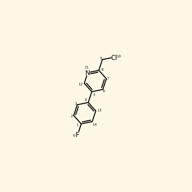 Fc1ccc(-c2ccc(CCl)nc2)cc1